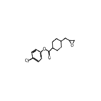 O=C(Oc1ccc(Cl)cc1)C1CCC(CC2CO2)CC1